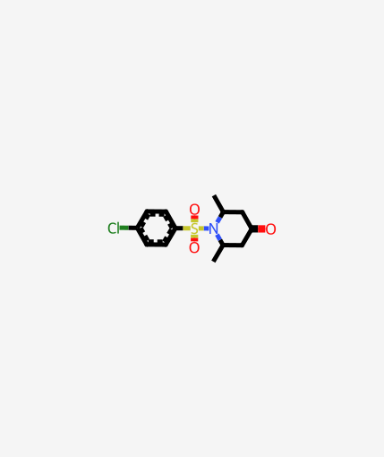 CC1CC(=O)CC(C)N1S(=O)(=O)c1ccc(Cl)cc1